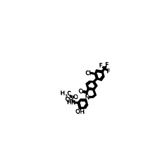 CS(=O)(=O)Nc1cc(N2CCc3cc(-c4ccc(C(F)(F)F)cc4Cl)ccc3C2=O)ccc1O